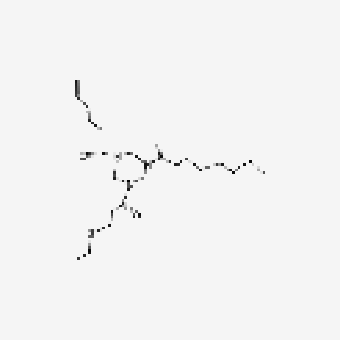 C=CSCCC(=O)N1CN(C(=O)CCCCSCC)CN(C(=O)CCSCC)C1